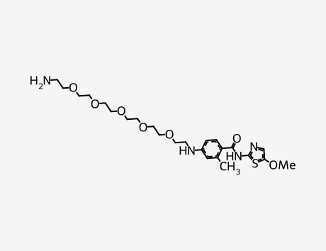 COc1cnc(NC(=O)c2ccc(NCCOCCOCCOCCOCCOCCN)cc2C)s1